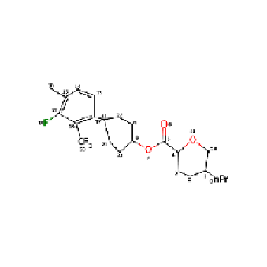 CCCC1CCC(C(=O)OC2CCC(c3ccc(C)c(F)c3C(F)(F)F)CC2)OC1